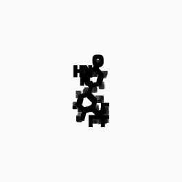 Cc1ccc(-c2ccc(=O)[nH]n2)cc1C(F)(F)F